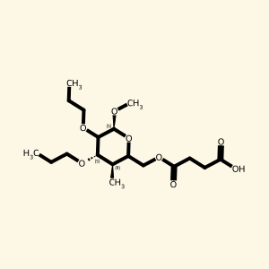 CCCOC1[C@@H](OC)OC(COC(=O)CCC(=O)O)[C@@H](C)[C@@H]1OCCC